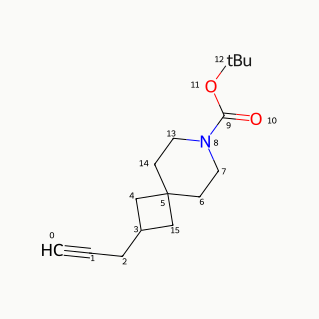 C#CCC1CC2(CCN(C(=O)OC(C)(C)C)CC2)C1